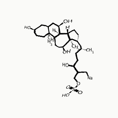 C[C@H](CCC(O)C([CH2][Na])COS(=O)(=O)O)[C@H]1CC[C@H]2[C@@H]3[C@H](O)CC4C[C@H](O)CC[C@]4(C)[C@H]3C[C@H](O)[C@]12C